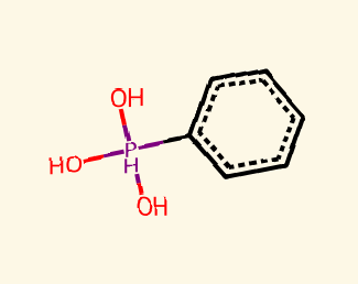 O[PH](O)(O)c1ccccc1